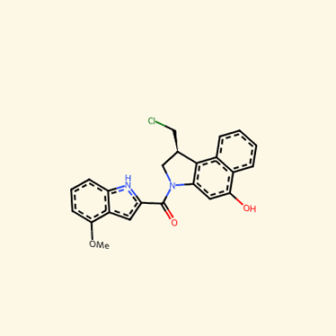 COc1cccc2[nH]c(C(=O)N3C[C@@H](CCl)c4c3cc(O)c3ccccc43)cc12